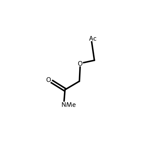 CNC(=O)COCC(C)=O